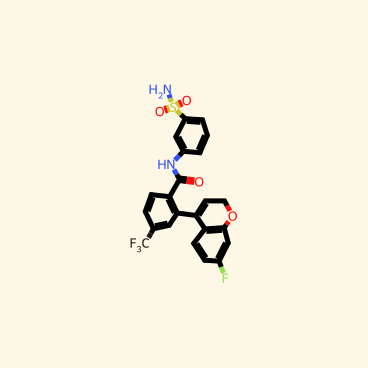 NS(=O)(=O)c1cccc(NC(=O)c2ccc(C(F)(F)F)cc2C2=CCOc3cc(F)ccc32)c1